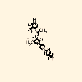 CC(CO[C@H]1C(=O)N(C2CCN(c3ncc(C(F)(F)F)cn3)CC2)CC1(C)C)Nc1cn[nH]c(=O)c1C(F)(F)F